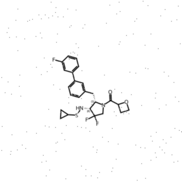 O=C(C1CCO1)N1CC(F)(F)[C@H](NSC2CC2)[C@@H]1Cc1cccc(-c2cccc(F)c2)c1